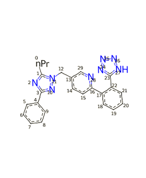 CCCc1nc(-c2ccccc2)nn1Cc1ccc(-c2ccccc2-c2nnn[nH]2)nc1